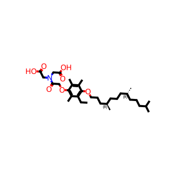 CCc1c(C)c(OCC(=O)N(CC(=O)O)CC(=O)O)c(C)c(C)c1OCCC[C@H](C)CCC[C@H](C)CCCC(C)C